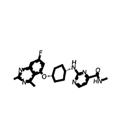 CNC(=O)c1ccnc(N[C@H]2CC[C@@H](Oc3cc(F)cc4nc(C)nc(C)c34)CC2)n1